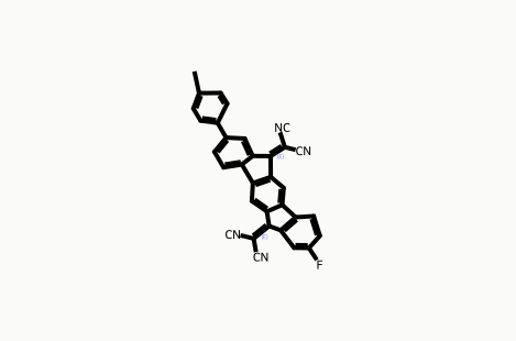 [C-]#[N+]/C(C#N)=C1/c2cc(F)ccc2-c2cc3c(cc21)-c1ccc(-c2ccc(C)cc2)cc1/C3=C(/C#N)[N+]#[C-]